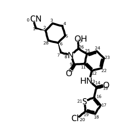 N#CC[C@H]1CCC[C@@H](CN2C(=O)c3c(NC(=O)c4ccc(Cl)s4)cccc3C2O)C1